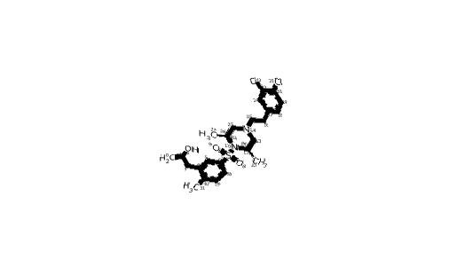 C=C(O)Cc1cc(S(=O)(=O)N2[C@H](C)CN(CCc3ccc(Cl)c(Cl)c3)C[C@@H]2C)ccc1C